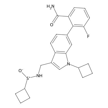 NC(=O)c1cccc(F)c1-c1ccc2c(CN[S+]([O-])C3CCC3)cn(C3CCC3)c2c1